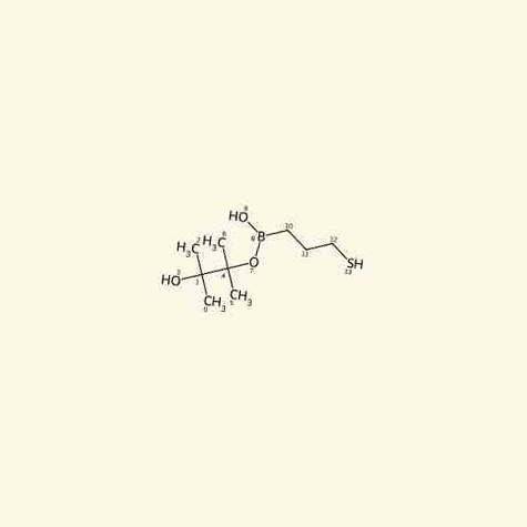 CC(C)(O)C(C)(C)OB(O)CCCS